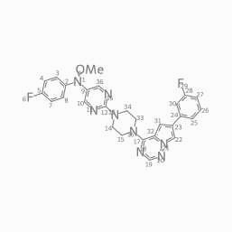 CON(c1ccc(F)cc1)c1cnc(N2CCN(c3ncnn4cc(-c5cccc(F)c5)cc34)CC2)nc1